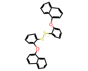 c1ccc(SSc2ccccc2Oc2cccc3ccccc23)c(Oc2cccc3ccccc23)c1